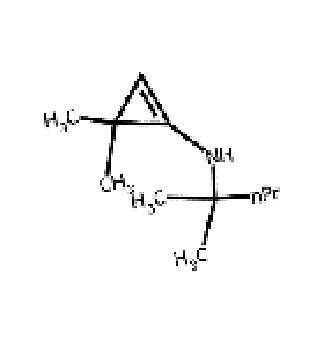 CCCC(C)(C)NC1=CC1(C)C